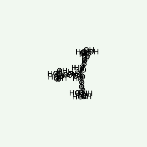 CC(=O)NC1C(O)=C(O)C(CO)OC1OCCOCCOCCNC(=O)CCC(N)(CCC(=O)NCCOCCOCCOC1OC(CO)C(O)C(O)C1NC(C)=O)CCC(=O)NCCOCCOCCOC1OC(CO)C(O)C(O)C1NC(C)=O